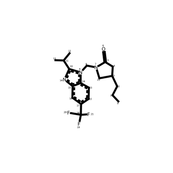 CCCC1CC(=O)N(Cn2c(C(C)C)nc3cc(C(F)(F)F)ccc32)C1